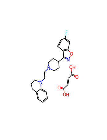 Fc1ccc2c(C3CCN(CCN4CCCc5ccccc54)CC3)noc2c1.O=C(O)C=CC(=O)O